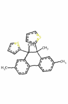 Cc1ccc2c(c1)C(C)(c1cccs1)C(C)(c1cccs1)c1cc(C)ccc1-2